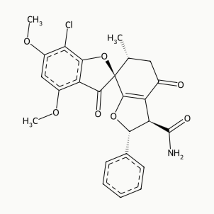 COc1cc(OC)c2c(c1Cl)O[C@]1(C2=O)C2=C(C(=O)C[C@H]1C)[C@@H](C(N)=O)[C@H](c1ccccc1)O2